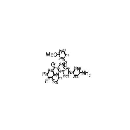 COc1cc(CN(Cc2cn3c4c(c(F)c(F)cc4c2=O)SCC3)[Si@H]2CCCN(c3ccc(N)nc3)C2)ccn1